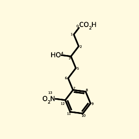 O=C(O)CCC(O)CCc1ccccc1[N+](=O)[O-]